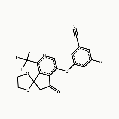 N#Cc1cc(F)cc(Oc2cnc(C(F)(F)F)c3c2C(=O)CC32OCCO2)c1